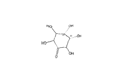 O=C1C(O)C(O)[C@H](O)[C@H](O)C1O